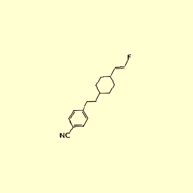 N#Cc1ccc(CCC2CCC(C=CF)CC2)cc1